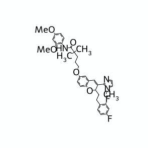 COc1ccc(NC(=O)C(C)(C)CCCOc2ccc3c(c2)C=C(c2nccn2C)C(CCc2ccc(F)cc2F)O3)c(OC)c1